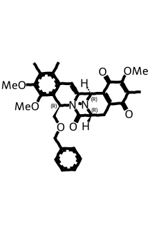 COC1=C(C)C(=O)C2=C(C1=O)[C@@H]1C3=Cc4c(C)c(C)c(OC)c(OC)c4[C@H](COCc4ccccc4)N3C(=O)[C@@H](C2)N1C